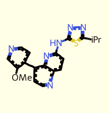 COc1cnccc1-c1ccnc2ccc(Nc3nnc(C(C)C)s3)nc12